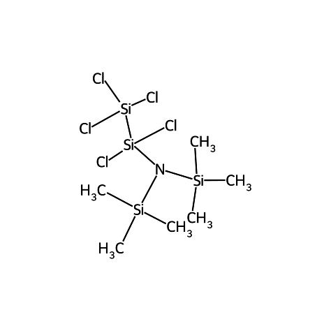 C[Si](C)(C)N([Si](C)(C)C)[Si](Cl)(Cl)[Si](Cl)(Cl)Cl